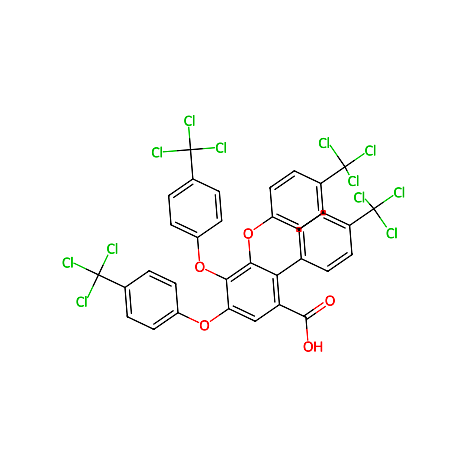 O=C(O)c1cc(Oc2ccc(C(Cl)(Cl)Cl)cc2)c(Oc2ccc(C(Cl)(Cl)Cl)cc2)c(Oc2ccc(C(Cl)(Cl)Cl)cc2)c1-c1ccc(C(Cl)(Cl)Cl)cc1